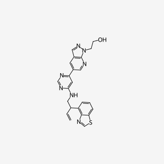 C=CC(CNc1cc(-c2cnc3c(cnn3CCO)c2)ncn1)c1cccc2scnc12